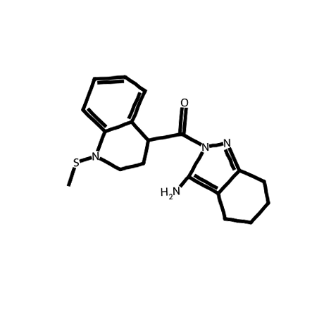 CSN1CCC(C(=O)n2nc3c(c2N)CCCC3)c2ccccc21